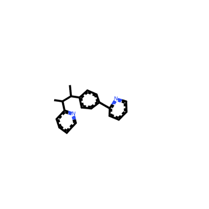 CC(c1ccc(-c2ccccn2)cc1)C(C)c1ccccn1